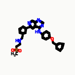 CS(=O)(=O)CCNCc1cccc(-c2cc3c(Nc4ccc(OCc5ccccc5)cc4)ncnc3cn2)c1